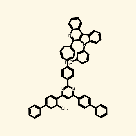 CC1C=C(n2c3ccccc3c3c4ccccc4nc(C4=CC=C(c5ccc(-c6nc(C7=CC=C(c8ccccc8)CC7C)cc(-c7ccc(-c8ccccc8)cc7)n6)cc5)C=CC4)c32)C=CC1